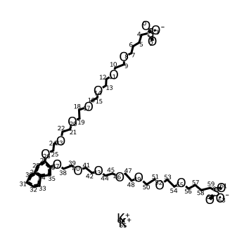 O=S(=O)([O-])CCCCOCCOCCOCCOCCOCCOCCOc1cc2ccccc2cc1OCCOCCOCCOCCOCCOCCOCCCCS(=O)(=O)[O-].[K+].[K+]